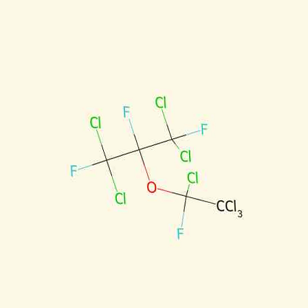 FC(Cl)(Cl)C(F)(OC(F)(Cl)C(Cl)(Cl)Cl)C(F)(Cl)Cl